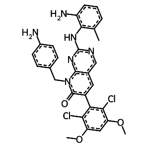 COc1cc(OC)c(Cl)c(-c2cc3cnc(Nc4c(C)cccc4N)nc3n(Cc3ccc(N)cc3)c2=O)c1Cl